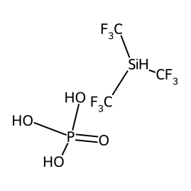 FC(F)(F)[SiH](C(F)(F)F)C(F)(F)F.O=P(O)(O)O